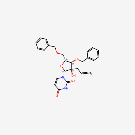 C=CC[C@@]1(O)[C@H](OCc2ccccc2)[C@@H](COCc2ccccc2)O[C@H]1n1ccc(=O)[nH]c1=O